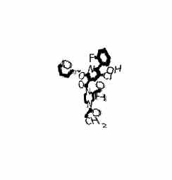 C=CC(=O)N1CCN2C(=O)c3c(OC[C@@H]4CCCO4)nc(-c4c(O)cccc4F)c(Cl)c3OC[C@H]2C1